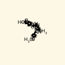 COc1ccc(CNc2nn3c(C(=O)Nc4ccc(CC(=O)O)cc4)cnc3cc2C)cc1